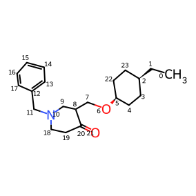 CC[C@H]1CC[C@@H](OCC2CN(Cc3ccccc3)CCC2=O)CC1